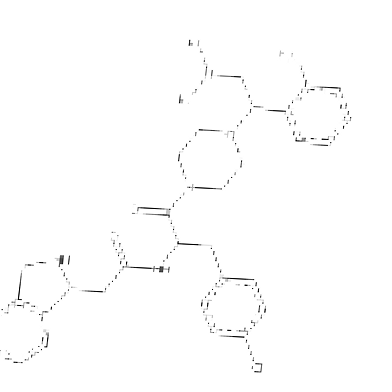 CCN(CC)CC(c1ccccc1C(F)(F)F)N1CCN(C(=O)C(Cc2ccc(Cl)cc2)NC(=O)CC2NCc3ccccc32)CC1